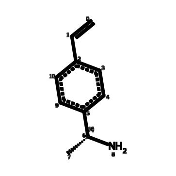 C=Cc1ccc([C@@H](C)N)cc1